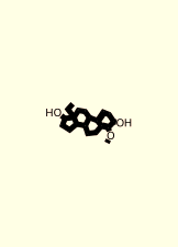 CCC12CCC3C4=CCC(O)C(OC)=C4CCC3C1CCC2O